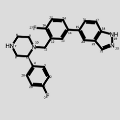 Fc1ccc([C@H]2CNCCN2Cc2cc(-c3ccc4[nH]ncc4c3)ccc2F)cc1